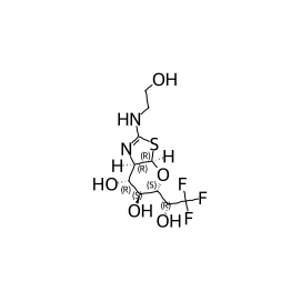 OCCNC1=N[C@@H]2[C@@H](O)[C@H](O)[C@@H]([C@@H](O)C(F)(F)F)O[C@@H]2S1